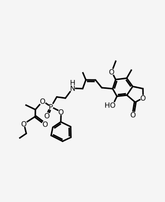 CCOC(=O)C(C)OP(=O)(CCNCC(C)=CCc1c(O)c2c(c(C)c1OC)COC2=O)Oc1ccccc1